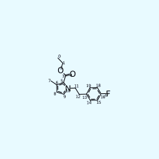 CCOC(=O)c1c(C)ccn1CCc1ccc(F)cc1